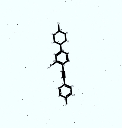 Cc1ccc(C#Cc2ccc(C3CCC(C)CC3)cc2F)cc1